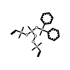 C=C[Si](C)(C)OO[Si](C)(O[Si](C)(C)C=C)O[Si](C)(c1ccccc1)c1ccccc1